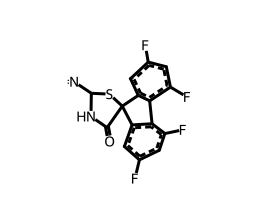 [N]C1NC(=O)C2(S1)c1cc(F)cc(F)c1-c1c(F)cc(F)cc12